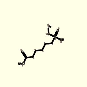 COC(=O)CCCCCP(=O)(O)OC(C)C